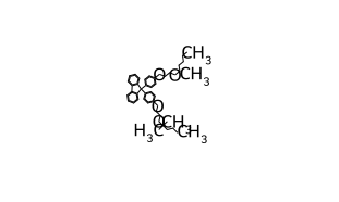 CCCCC(C)OCCOc1ccc(C2(c3ccc(OCCOC(C)(C)CCCC)cc3)c3ccccc3-c3ccccc32)cc1